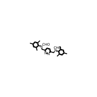 Cc1cc(C)c(N(C=O)Cc2ccc(CN(C=O)c3c(C)cc(C)cc3C)nn2)c(C)c1